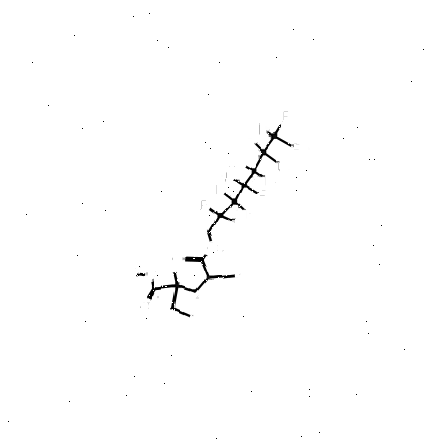 CCC(C)(CC(C)C(=O)OCC(F)(F)C(F)(F)C(F)(F)C(F)(F)C(F)(F)C(F)(F)F)C(=O)OC